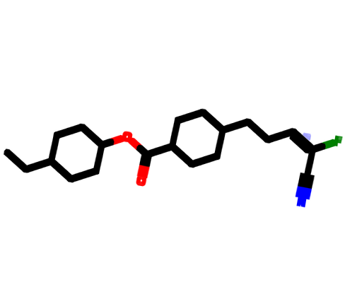 CCC1CCC(OC(=O)C2CCC(CC/C=C(/F)C#N)CC2)CC1